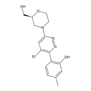 CCc1cc(N2CCO[C@H](CO)C2)nnc1-c1ccc(C)cc1O